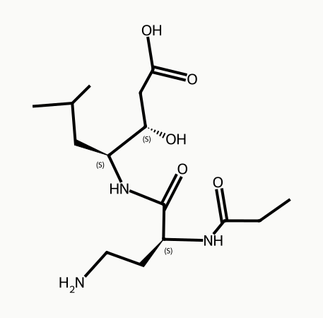 CCC(=O)N[C@@H](CCN)C(=O)N[C@@H](CC(C)C)[C@@H](O)CC(=O)O